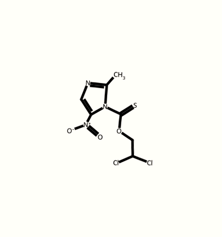 Cc1ncc([N+](=O)[O-])n1C(=S)OCC(Cl)Cl